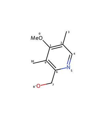 COc1c(C)cnc(C[O])c1C